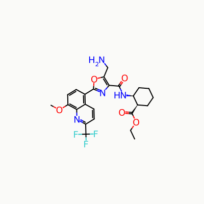 CCOC(=O)[C@@H]1CCCC[C@@H]1NC(=O)c1nc(-c2ccc(OC)c3nc(C(F)(F)F)ccc23)oc1CN